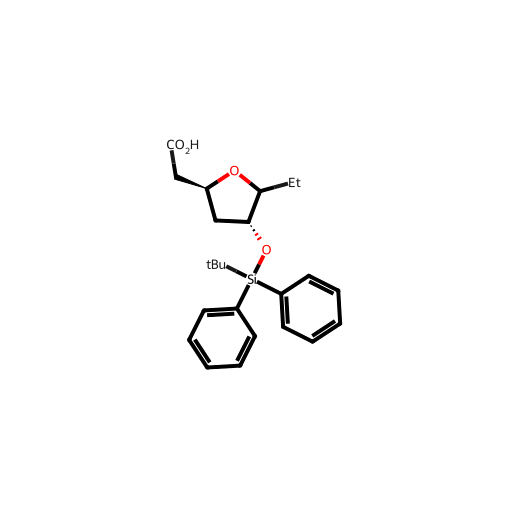 CCC1O[C@H](CC(=O)O)C[C@H]1O[Si](c1ccccc1)(c1ccccc1)C(C)(C)C